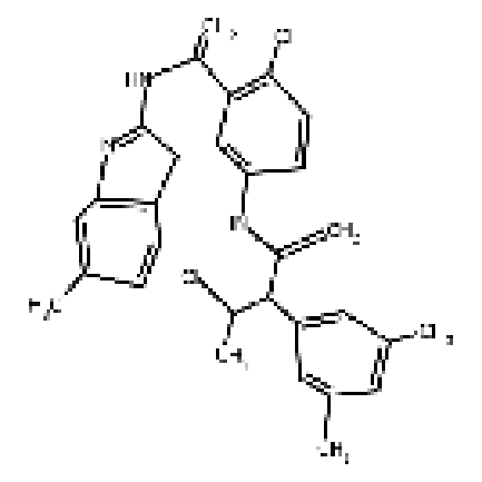 C=C(NC1=Nc2cc(C)ccc2C1)c1cc(NC(=C)C(c2cc(C)cc(C)c2)C(C)Cl)ccc1Cl